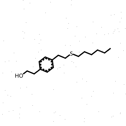 CCCCCCSCCc1ccc(CCO)cc1